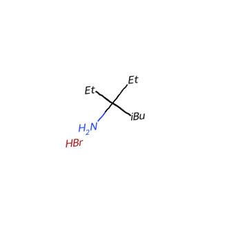 Br.CCC(C)C(N)(CC)CC